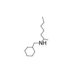 CCCCCC(C)NCC1CCCCC1